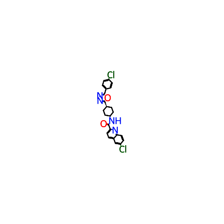 O=C(N[C@H]1CC[C@H](c2nnc(-c3ccc(Cl)cc3)o2)CC1)c1ccc2cc(Cl)ccc2n1